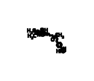 Cc1nc(S(=O)(=O)CNCCCC(=O)N(C)CCc2ccc(C3=NCCN3)cc2)cn1C